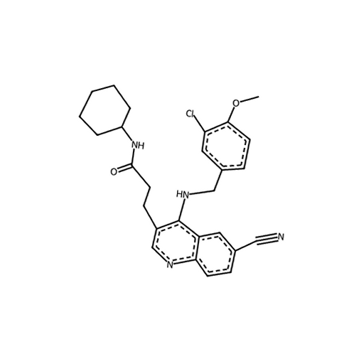 COc1ccc(CNc2c(CCC(=O)NC3CCCCC3)cnc3ccc(C#N)cc23)cc1Cl